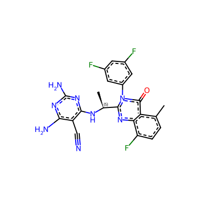 Cc1ccc(F)c2nc([C@H](C)Nc3nc(N)nc(N)c3C#N)n(-c3cc(F)cc(F)c3)c(=O)c12